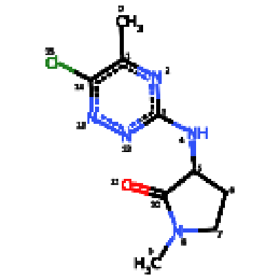 Cc1nc(N[C@H]2CCN(C)C2=O)nnc1Cl